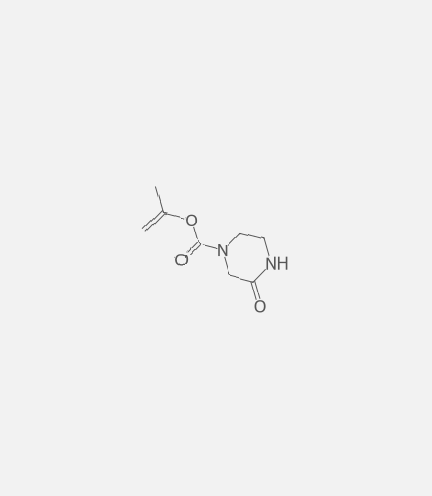 C=C(C)OC(=O)N1CCNC(=O)C1